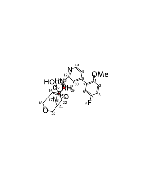 COc1ccc(F)cc1-c1ccnc2[nH]c(C3=CC4COCC(C3)N4S(=O)(=O)NC(=O)O)cc12